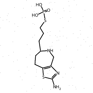 Nc1nc2c(s1)CCC(CCCSP(=O)(O)O)NC2